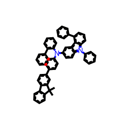 CC1(C)c2ccccc2-c2ccc(-c3ccc(N(c4ccc5c(c4)c4c(-c6ccccc6)cccc4n5-c4ccccc4)c4ccccc4-c4ccccc4)cc3)cc21